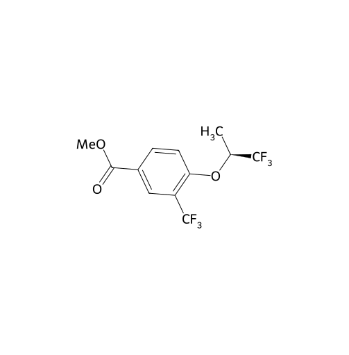 COC(=O)c1ccc(O[C@@H](C)C(F)(F)F)c(C(F)(F)F)c1